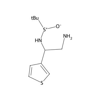 CC(C)(C)[S+]([O-])NC(CN)c1ccsc1